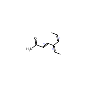 C\C=C/C(/C=C/C(N)=O)=C\C